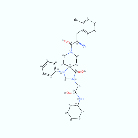 N#Cc1ccccc1C[C@@H](N)C(=O)N1CCC2(CC1)C(=O)N(CC(=O)NC1CCCCC1)CN2c1ccccc1